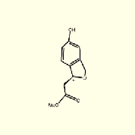 COC(=O)C[C@@H]1OCc2cc(O)ccc21